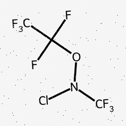 FC(F)(F)N(Cl)OC(F)(F)C(F)(F)F